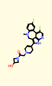 CN1Cc2c(C3=CCN(CC(=O)N4CC(O)C4)CC3)[nH]c3ncc(F)c(c23)-c2cc(F)ccc21